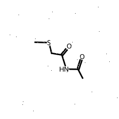 CSCC(=O)NC(C)=O